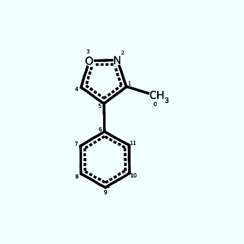 Cc1nocc1-c1cc[c]cc1